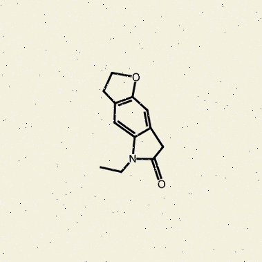 CCN1C(=O)Cc2cc3c(cc21)CCO3